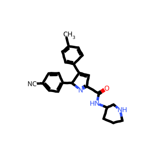 Cc1ccc(C2=CC(C(=O)NC3CCCNC3)=NC2c2ccc(C#N)cc2)cc1